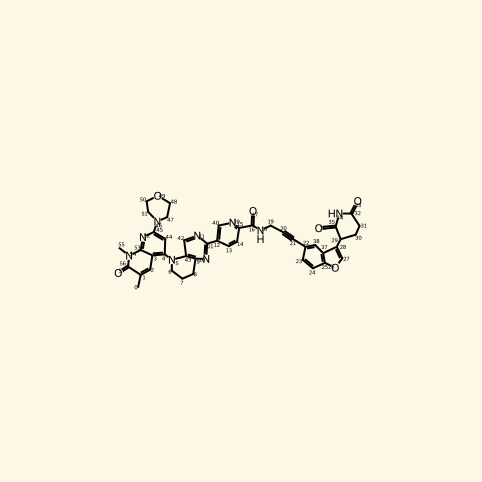 Cc1cc2c(N3CCCc4nc(-c5ccc(C(=O)NCC#Cc6ccc7occ(C8CCC(=O)NC8=O)c7c6)nc5)ncc43)cc(N3CCOCC3)nc2n(C)c1=O